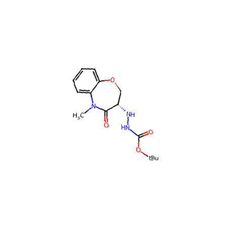 CN1C(=O)[C@@H](NNC(=O)OC(C)(C)C)COc2ccccc21